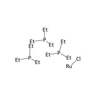 CCP(CC)CC.CCP(CC)CC.CCP(CC)CC.[Cl][Ru]